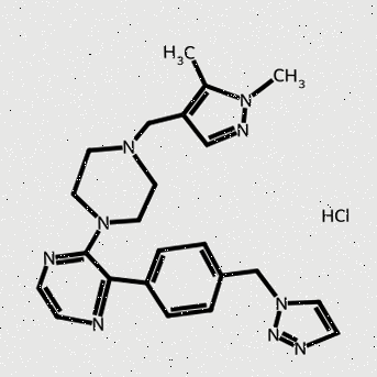 Cc1c(CN2CCN(c3nccnc3-c3ccc(Cn4ccnn4)cc3)CC2)cnn1C.Cl